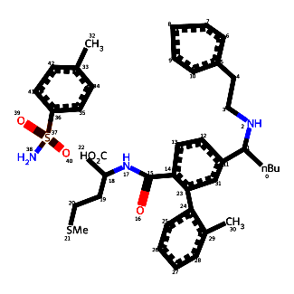 CCCCC(NCCc1ccccc1)c1ccc(C(=O)NC(CCSC)C(=O)O)c(-c2ccccc2C)c1.Cc1ccc(S(N)(=O)=O)cc1